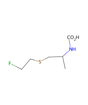 CC(CSCCF)NC(=O)O